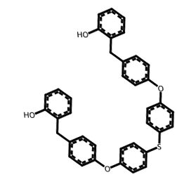 Oc1ccccc1Cc1ccc(Oc2ccc(Sc3ccc(Oc4ccc(Cc5ccccc5O)cc4)cc3)cc2)cc1